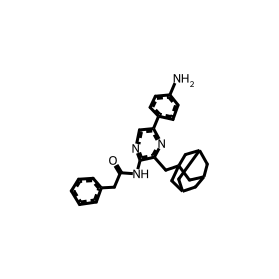 Nc1ccc(-c2cnc(NC(=O)Cc3ccccc3)c(CC34CC5CC(CC(C5)C3)C4)n2)cc1